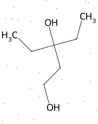 CCC(O)(CC)CCO